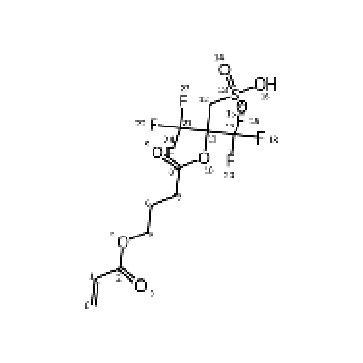 C=CC(=O)OCCCC(=O)OC(CS(=O)(=O)O)(C(F)(F)F)C(F)(F)F